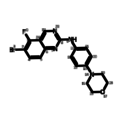 Fc1c(Br)ccc2nc(Nc3ccc(N4CCOCC4)cc3)ncc12